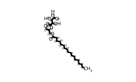 CCCCCCCCCCCCCCCCCC(=O)OCC(CO)OC(=O)C(O)C(O)C(=O)O